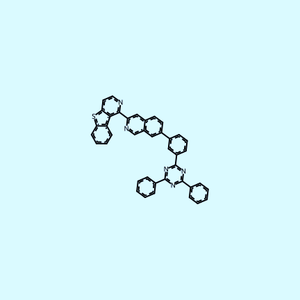 c1ccc(-c2nc(-c3ccccc3)nc(-c3cccc(-c4ccc5cc(-c6nccc7sc8ccccc8c67)ncc5c4)c3)n2)cc1